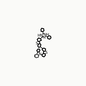 C1=CC2c3ccccc3N(c3cccc4sc5ccc(-c6ccc7sc8ccc(C9=NC(c%10ccccc%10)NC(c%10ccccc%10)N9)cc8c7c6)cc5c34)C2CC1